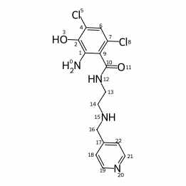 Nc1c(O)c(Cl)cc(Cl)c1C(=O)NCCNCc1ccncc1